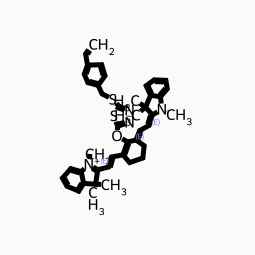 C=Cc1ccc(CSc2nnc(OC3=C(/C=C/C4=[N+](C)c5ccccc5C4(C)C)CCC/C3=C\C=C3\N(C)c4ccccc4C3(C)C)s2)cc1